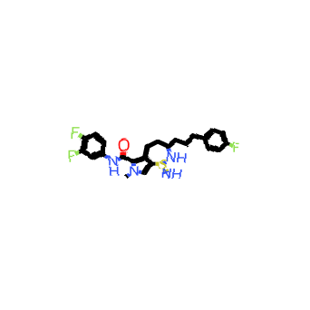 Cn1cc2c(c1C(=O)Nc1ccc(F)c(F)c1)CCC(CCCc1ccc(F)cc1)NS2=N